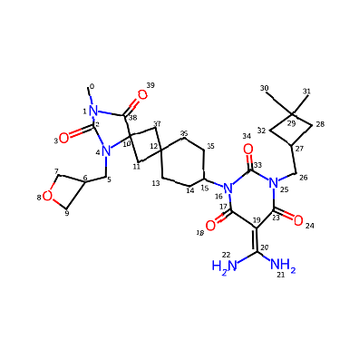 CN1C(=O)N(CC2COC2)C2(CC3(CCC(N4C(=O)C(=C(N)N)C(=O)N(CC5CC(C)(C)C5)C4=O)CC3)C2)C1=O